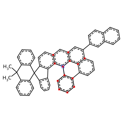 CC1(C)c2ccccc2C2(c3ccccc3-c3c(N(c4ccc(-c5ccc6ccccc6c5)cc4)c4ccccc4-c4ccccc4-c4ccccc4-c4ccccc4)cccc32)c2ccccc21